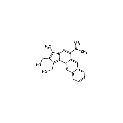 Cc1c(CO)c(CO)c2c3cc4ccccc4cc3c(N(C)C)nn12